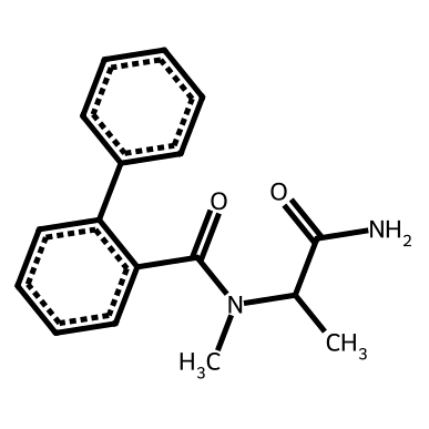 CC(C(N)=O)N(C)C(=O)c1ccccc1-c1ccccc1